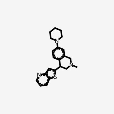 CN1Cc2cc(N3CCCCC3)ccc2C(c2cc3ncccc3s2)C1